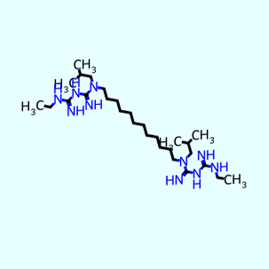 CCNC(=N)NC(=N)N(CCCCCCCCCCCCN(CC(C)C)C(=N)NC(=N)NCC)CC(C)C